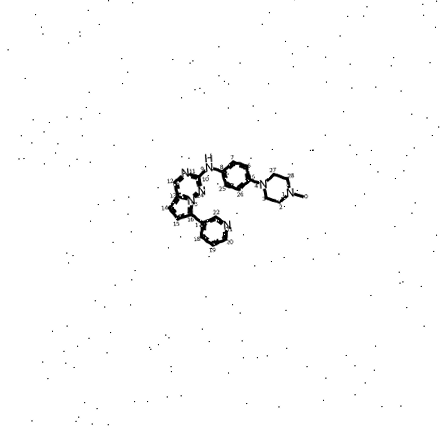 CN1CCN(c2ccc(Nc3ncc4ccc(-c5cccnc5)n4n3)cc2)CC1